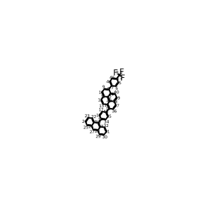 FC(F)(F)c1ccc(-c2ccc3ccc4c(-c5ccc(-c6c7ccccc7cc7ccccc67)cc5)ccc5ccc2c3c54)cc1